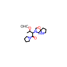 CC(OC=O)C(C(=O)N1CCCC1)N1COC2(CCCN2)C1